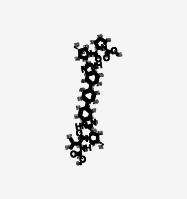 COC(=O)N[C@H](C(=O)N1C[C@@H](C)C[C@H]1c1nc2cc(-c3ccc(-c4ccc5[nH]c([C@@H]6C[C@H](C)CN6C(=O)[C@@H]6CCCN6C(=O)OC)nc5c4)cc3)ccc2[nH]1)C(C)C